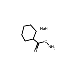 NOC(=O)C1CCCCC1.[NaH]